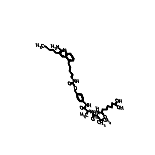 CCCCCc1cc2c(CCCCCNC(=O)OCc3ccc(NC(=O)C(C)NC(=O)[C@@H](NC(=O)CCCCCC(O)O)C(C)C)cc3)cccc2nc1N